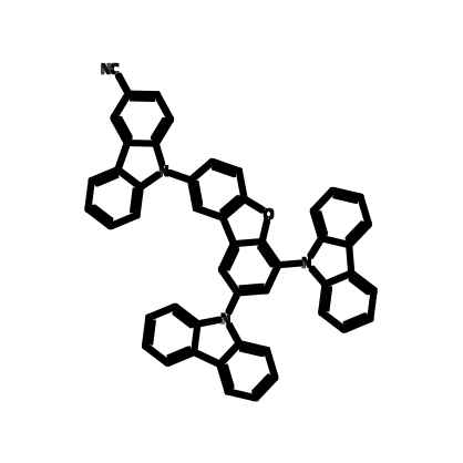 N#Cc1ccc2c(c1)c1ccccc1n2-c1ccc2oc3c(-n4c5ccccc5c5ccccc54)cc(-n4c5ccccc5c5ccccc54)cc3c2c1